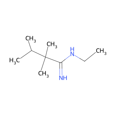 CCNC(=N)C(C)(C)C(C)C